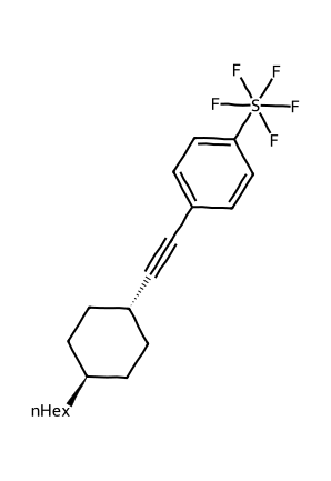 CCCCCC[C@H]1CC[C@H](C#Cc2ccc(S(F)(F)(F)(F)F)cc2)CC1